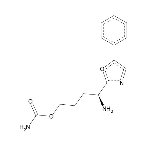 NC(=O)OCCC[C@H](N)c1ncc(-c2ccccc2)o1